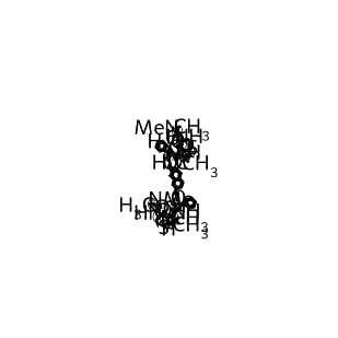 CN[C@@H](C)C(=O)N[C@H]1CCS[C@H]2CC(C)(C)[C@@H](C(=O)N[C@H](COCc3ccc4ccc(COC[C@@H](NC(=O)[C@H]5N6C(=O)[C@](C)(NC(=O)[C@H](C)NC)CCS[C@H]6CC5(C)C)c5ccccc5)cc4c3)c3ccccc3)N2C1=O